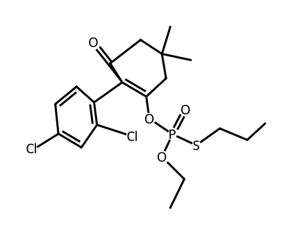 CCCSP(=O)(OCC)OC1=C(c2ccc(Cl)cc2Cl)C(=O)CC(C)(C)C1